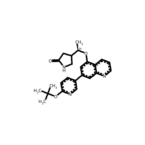 C[C@@H](Oc1cc(-c2ccc(OC(C)(C)C)nc2)cc2ncccc12)C1CNC(=O)C1